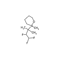 CC(C)(C(F)C(F)F)[Si]1(C)CCCCO1